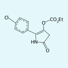 CCOC(=O)OC1=C(c2ccc(Cl)cc2)NC(=O)C1